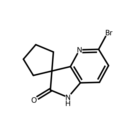 O=C1Nc2ccc(Br)nc2C12CCCC2